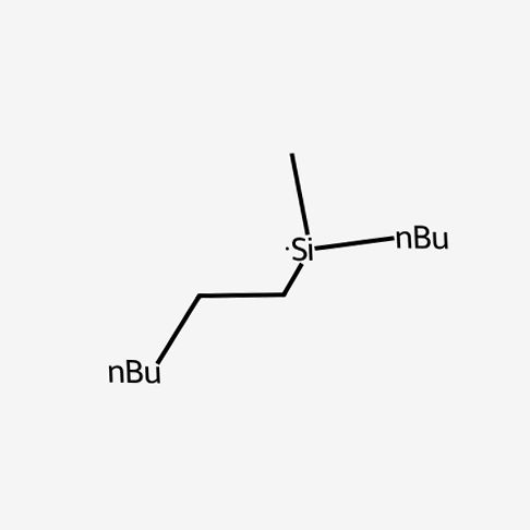 CCCCCC[Si](C)CCCC